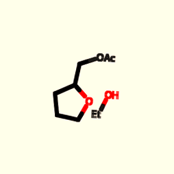 CC(=O)OCC1CCCO1.CCO